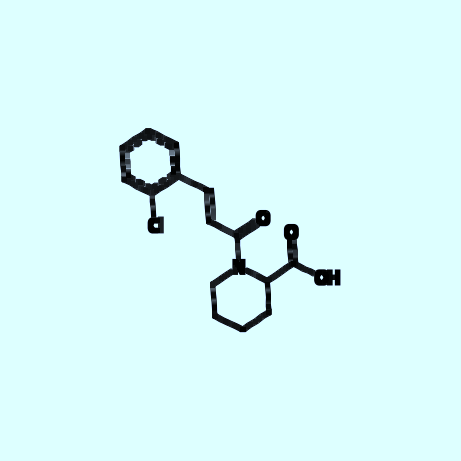 O=C(O)C1CCCCN1C(=O)/C=C/c1ccccc1Cl